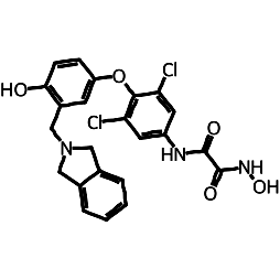 O=C(NO)C(=O)Nc1cc(Cl)c(Oc2ccc(O)c(CN3Cc4ccccc4C3)c2)c(Cl)c1